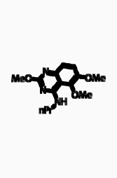 CCCNc1nc(OC)nc2ccc(OC)c(OC)c12